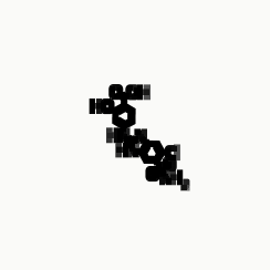 NS(=O)(=O)c1cc2[nH]c(Nc3ccc(C(=O)O)c(O)c3)nc2cc1Cl